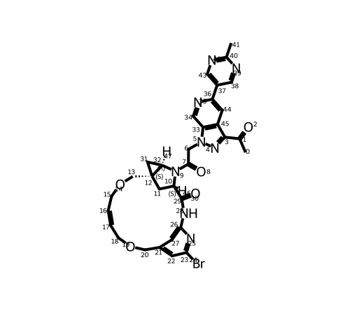 CC(=O)c1nn(CC(=O)N2[C@H]3C[C@@]4(COCC=CCOCc5cc(Br)nc(c5)NC3=O)C[C@@H]24)c2cnc(-c3cnc(C)nc3)cc12